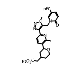 CCCc1ccc(=O)n(Cc2c(-c3ccc(C4CC(CC(=O)OCC)CCO4)c(C)n3)nnn2C)c1